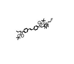 CCCN(C(=O)OC(C)(C)C)c1ccc(/C=C/c2ccc(N(Cc3cn(CCF)nn3)C(=O)OC(C)(C)C)cc2)cc1